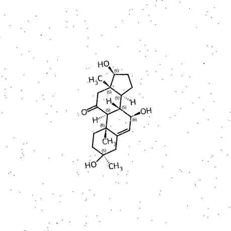 C[C@]1(O)CC[C@@]2(C)C(=C[C@H](O)[C@H]3[C@@H]4CC[C@H](O)[C@@]4(C)CC(=O)[C@@H]32)C1